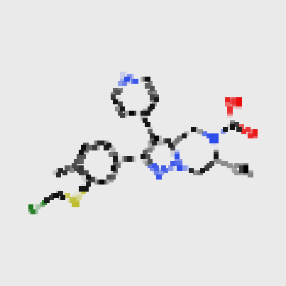 CC1Cn2nc(-c3ccc4cc(Cl)sc4c3)c(-c3ccncc3)c2CN1C(=O)O